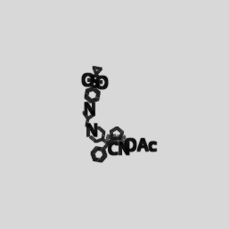 CC(=O)OC[C@H]1CCC[C@@H]1C(C#N)(c1ccccc1)C1CCN(CC2CN(c3ccc(S(=O)(=O)C4CC4)cc3)C2)CC1